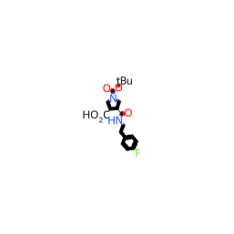 CC(C)(C)OC(=O)N1C[C@H](C(=O)O)[C@@H](C(=O)NCCc2ccc(F)cc2)C1